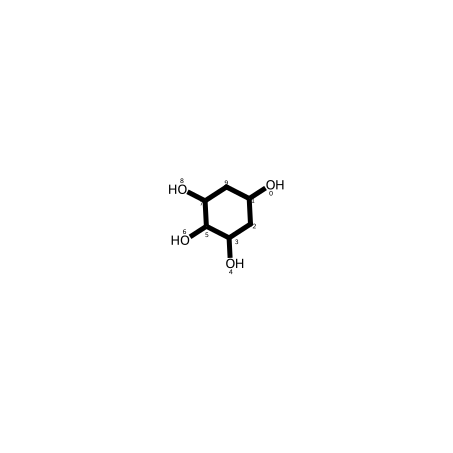 OC1CC(O)C(O)C(O)C1